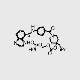 CC(C)CC1(OC(=O)OCOP(O)O)CCN(C(=O)c2ccc(NSc3cccc4nccnc34)cc2)CC1